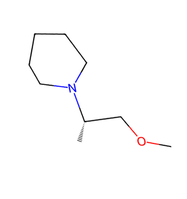 COC[C@H](C)N1CCCCC1